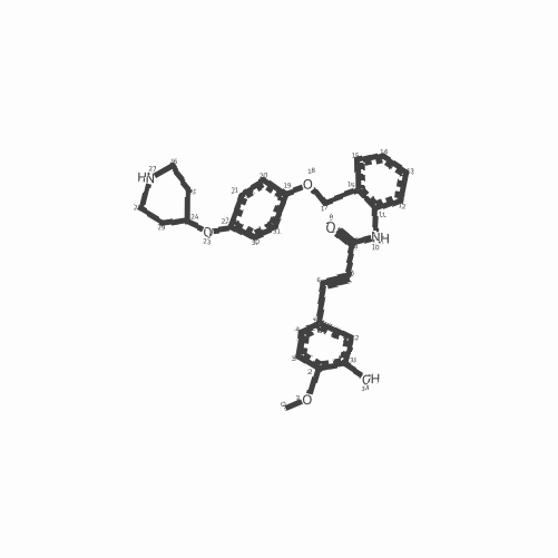 COc1ccc(/C=C/C(=O)Nc2ccccc2COc2ccc(OC3CCNCC3)cc2)cc1O